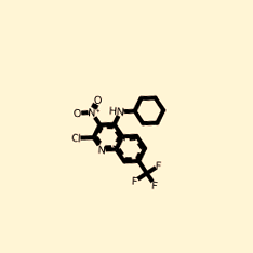 O=[N+]([O-])c1c(Cl)nc2cc(C(F)(F)F)ccc2c1NC1CCCCC1